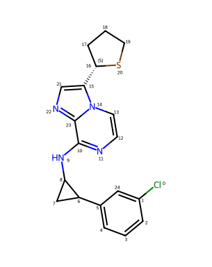 Clc1cccc(C2CC2Nc2nccn3c([C@@H]4CCCS4)cnc23)c1